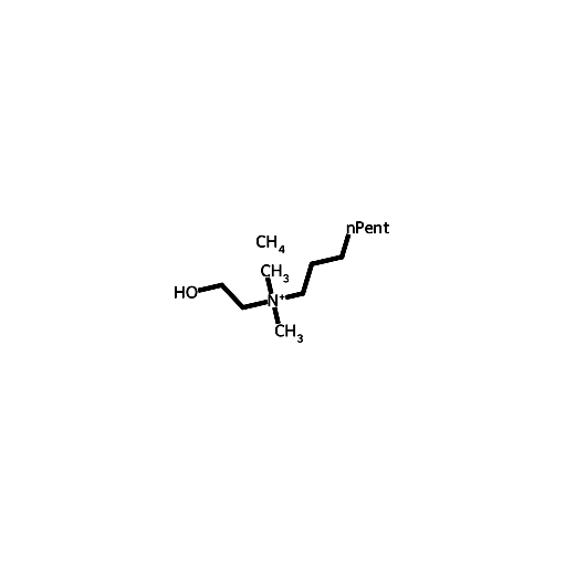 C.CCCCCCCC[N+](C)(C)CCO